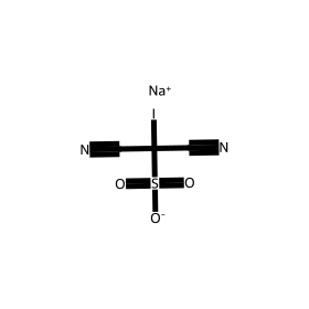 N#CC(I)(C#N)S(=O)(=O)[O-].[Na+]